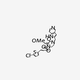 COC[C@H]1C(=O)N(Cc2cc3cnccc3[nH]2)CCN1S(=O)(=O)C=Cc1ccc(Cl)s1